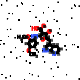 COc1ccc(NC2=C(C(=O)O)C(=O)/C(=C/c3c[nH]c4ncccc34)O2)c(OC)c1